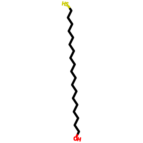 OCCCCCCCCCCCCCCCCCCCS